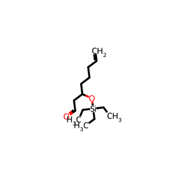 C=CCCCC(CC=O)O[Si](CC)(CC)CC